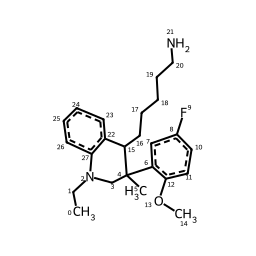 CCN1CC(C)(c2cc(F)ccc2OC)C(CCCCCN)c2ccccc21